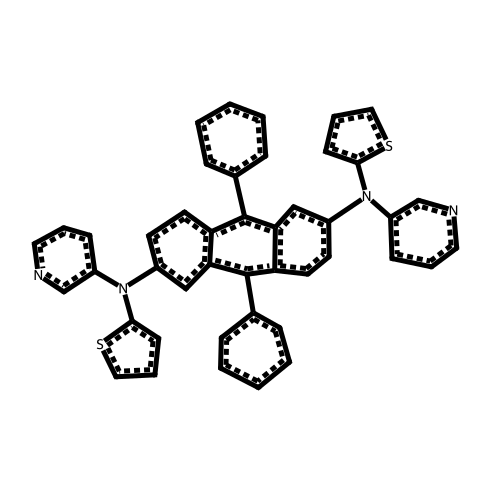 c1ccc(-c2c3ccc(N(c4cccnc4)c4cccs4)cc3c(-c3ccccc3)c3ccc(N(c4cccnc4)c4cccs4)cc23)cc1